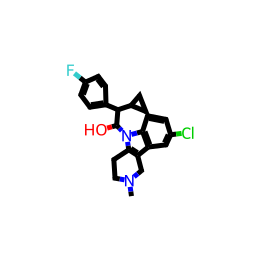 CN1CCc2c(c3cc(Cl)ccc3n2C(O)C(c2ccc(F)cc2)C2CC2)C1